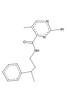 Cc1cnc(C(C)C)nc1C(=O)NCCC(C)c1ccccc1